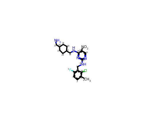 Cc1ccc(F)c(CNc2ncc([N+](=O)[O-])c(NCC3CCC(CN)CC3)n2)c1Cl